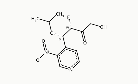 CC(C)O[C@@H](c1ccncc1[N+](=O)[O-])[C@H](F)C(=O)CO